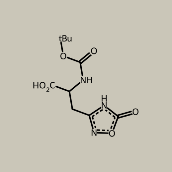 CC(C)(C)OC(=O)NC(Cc1noc(=O)[nH]1)C(=O)O